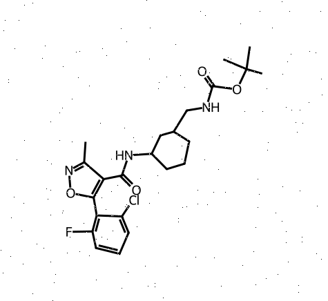 Cc1noc(-c2c(F)cccc2Cl)c1C(=O)NC1CCCC(CNC(=O)OC(C)(C)C)C1